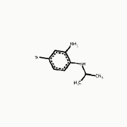 CC(C)Nc1ccc(Br)cc1N